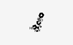 CN(c1ncnc2[nH]ccc12)C1CCN(S(=O)(=O)c2ccccc2)C1